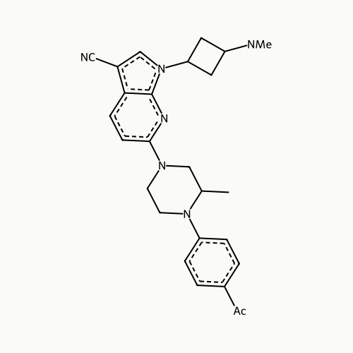 CNC1CC(n2cc(C#N)c3ccc(N4CCN(c5ccc(C(C)=O)cc5)C(C)C4)nc32)C1